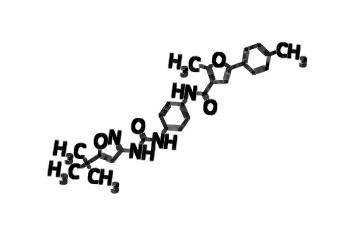 Cc1ccc(-c2cc(C(=O)Nc3ccc(NC(=O)Nc4cc(C(C)(C)C)on4)cc3)c(C)o2)cc1